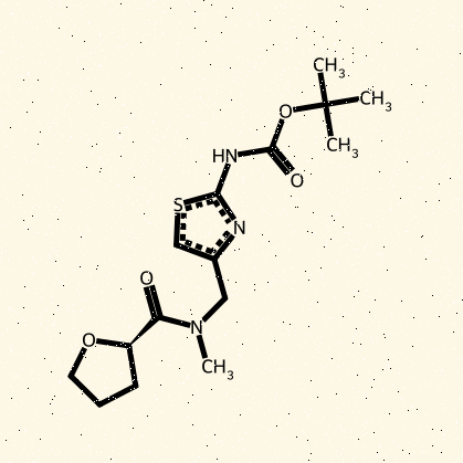 CN(Cc1csc(NC(=O)OC(C)(C)C)n1)C(=O)[C@H]1CCCO1